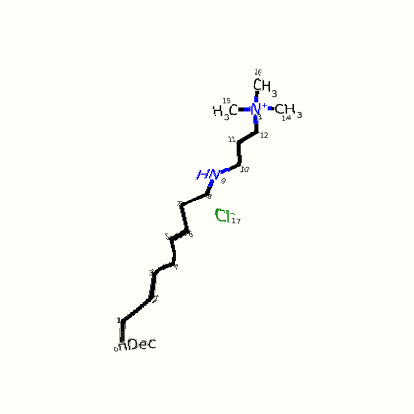 CCCCCCCCCCCCCCCCCCNCCC[N+](C)(C)C.[Cl-]